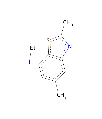 CCI.Cc1ccc2sc(C)nc2c1